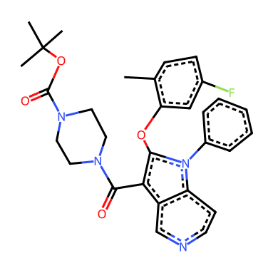 Cc1ccc(F)cc1Oc1c(C(=O)N2CCN(C(=O)OC(C)(C)C)CC2)c2cnccc2n1-c1ccccc1